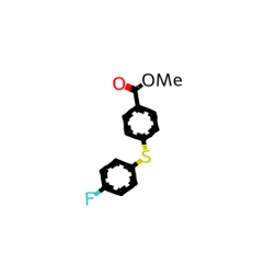 COC(=O)c1ccc(Sc2ccc(F)cc2)cc1